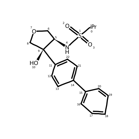 CC(C)S(=O)(=O)N[C@@H]1COC[C@@]1(O)c1ccc(-c2ccccc2)cc1